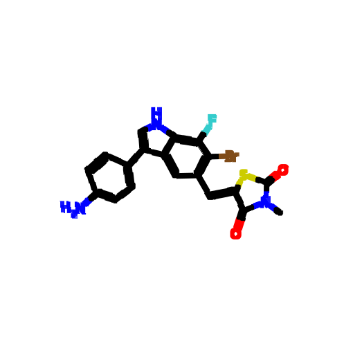 CN1C(=O)S/C(=C\c2cc3c(-c4ccc(N)cc4)c[nH]c3c(F)c2Br)C1=O